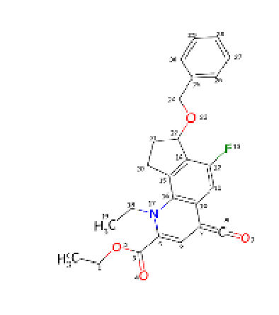 CCOC(=O)C1=CC(=C=O)c2cc(F)c3c(c2N1CC)CCC3OCc1ccccc1